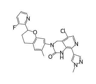 Cc1cc2c(cc1N1Cc3c(Cl)cnc(-c4cnn(C)c4)c3NC1=O)OC(c1ncccc1F)CC2